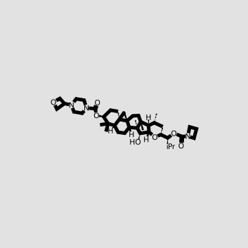 CC(C)[C@@H](OC(=O)N1CCC1)[C@H]1C[C@@H](C)[C@H]2[C@H](O1)[C@H](O)[C@@]1(C)[C@@H]3CC[C@H]4C(C)(C)[C@@H](OC(=O)N5CCN(C6COC6)CC5)CC[C@@]45C[C@@]35CC[C@]21C